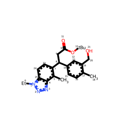 CCn1nnc2c(C)c(C(CC(=O)OC(C)(C)C)c3ccc(C)c(CO)c3)ccc21